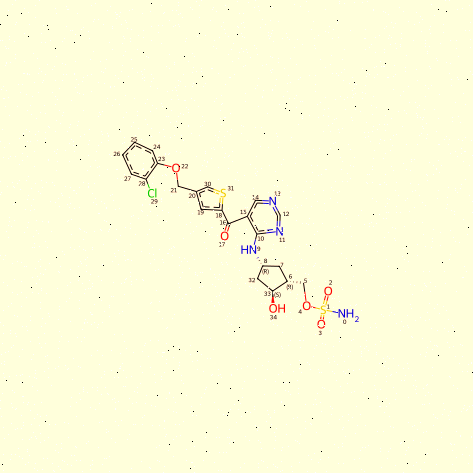 NS(=O)(=O)OC[C@H]1C[C@@H](Nc2ncncc2C(=O)c2cc(COc3ccccc3Cl)cs2)C[C@@H]1O